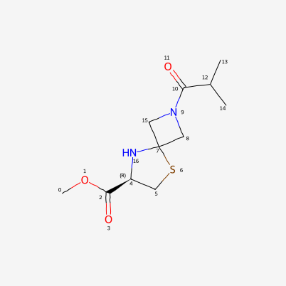 COC(=O)[C@@H]1CSC2(CN(C(=O)C(C)C)C2)N1